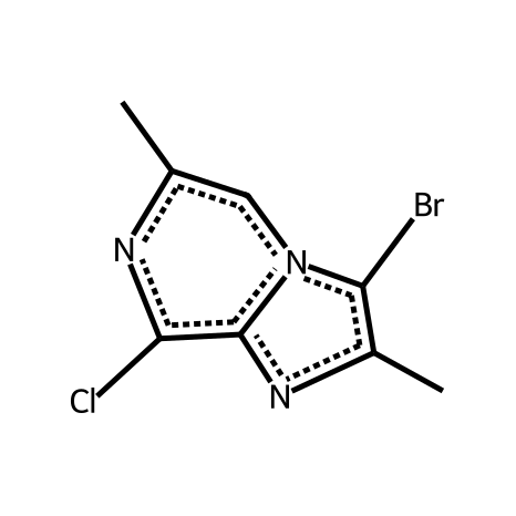 Cc1cn2c(Br)c(C)nc2c(Cl)n1